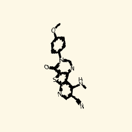 CNc1c(C#N)cnc2sc3c(=O)n(-c4ccc(OC)cc4)cnc3c12